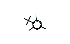 Cc1cc(C)c(C(C)(C)C)c(F)c1